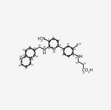 Nc1ccc(-c2ccc(NCCC(=O)O)c(F)c2)nc1NCc1ccc2ncccc2c1